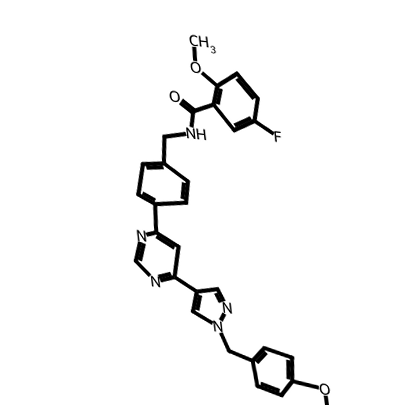 COc1ccc(Cn2cc(-c3cc(-c4ccc(CNC(=O)c5cc(F)ccc5OC)cc4)ncn3)cn2)cc1